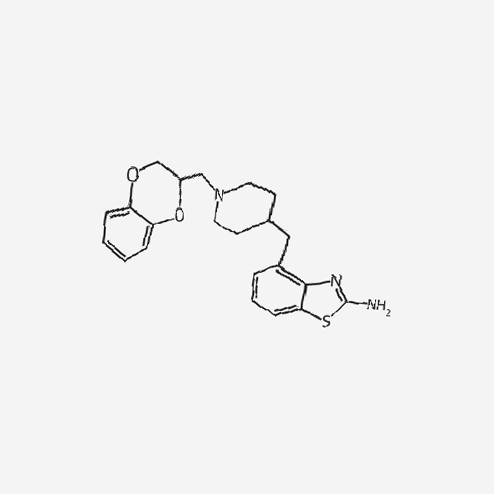 Nc1nc2c(CC3CCN(CC4COc5ccccc5O4)CC3)cccc2s1